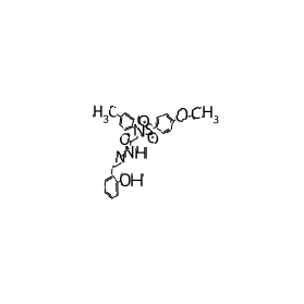 CCOc1ccc(S(=O)(=O)N(CC(=O)NN=CCc2ccccc2O)c2ccc(C)cc2)cc1